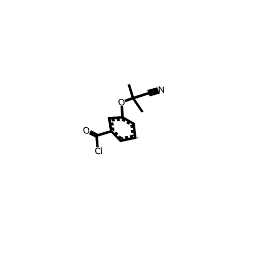 CC(C)(C#N)Oc1c[c]cc(C(=O)Cl)c1